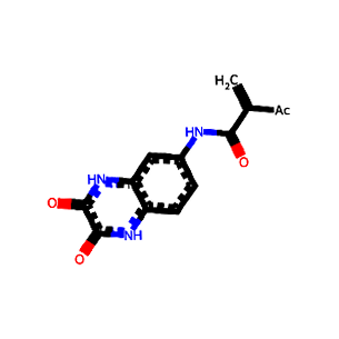 C=C(C(C)=O)C(=O)Nc1ccc2[nH]c(=O)c(=O)[nH]c2c1